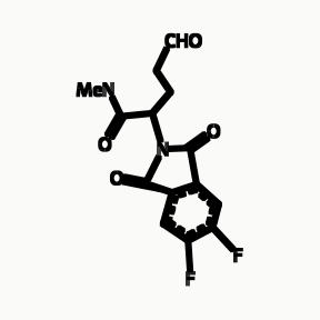 CNC(=O)C(CCC=O)N1C(=O)c2cc(F)c(F)cc2C1=O